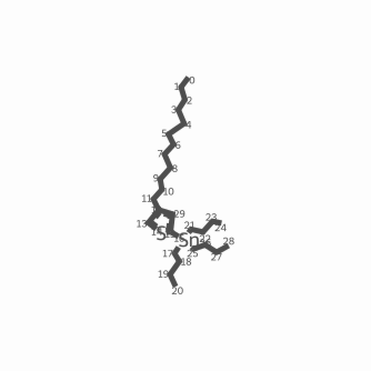 CCCCCCCCCCCCc1cs[c]([Sn]([CH2]CCC)([CH2]CCC)[CH2]CCC)c1